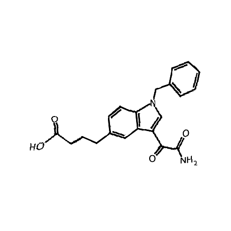 NC(=O)C(=O)c1cn(Cc2ccccc2)c2ccc(CCCC(=O)O)cc12